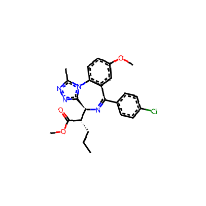 CCC[C@H](C(=O)OC)[C@@H]1N=C(c2ccc(Cl)cc2)c2cc(OC)ccc2-n2c(C)nnc21